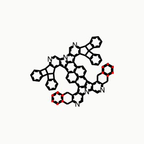 c1ccc2c(c1)C1c3ccccc3C2c2c1ncc1c2c2c3ccc4c5c(ccc(c35)c3c5c6c(ncc5n1c23)C1c2ccccc2C6c2ccccc21)c1c2c3c(ncc2n2c5cnc6c(c5c4c12)C1c2ccccc2C12c1ccccc1C62)C1c2ccccc2C12c1ccccc1C32